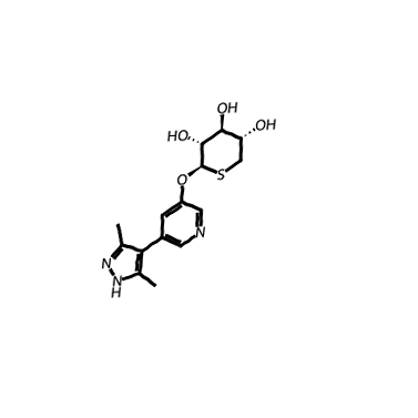 Cc1n[nH]c(C)c1-c1cncc(O[C@@H]2SC[C@@H](O)[C@H](O)[C@H]2O)c1